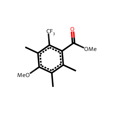 COC(=O)c1c(C)c(C)c(OC)c(C)c1C(F)(F)F